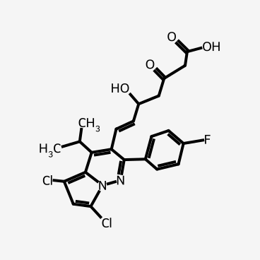 CC(C)c1c(C=CC(O)CC(=O)CC(=O)O)c(-c2ccc(F)cc2)nn2c(Cl)cc(Cl)c12